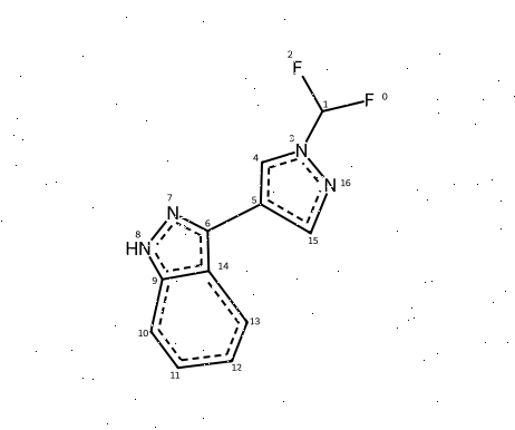 FC(F)n1cc(-c2n[nH]c3ccccc23)cn1